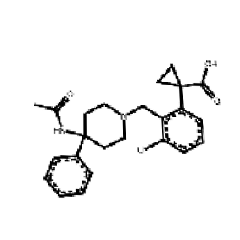 CC(=O)NC1(c2ccccc2)CCN(Cc2c(Cl)cccc2C2(C(=O)O)CC2)CC1